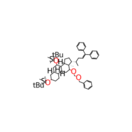 CC(CC=C(c1ccccc1)c1ccccc1)[C@H]1CC[C@H]2[C@@H]3[C@H](O[Si](C)(C)C(C)(C)C)C[C@@H]4C[C@H](O[Si](C)(C)C(C)(C)C)CC[C@]4(C)[C@H]3C[C@H](OCOCc3ccccc3)[C@]12C